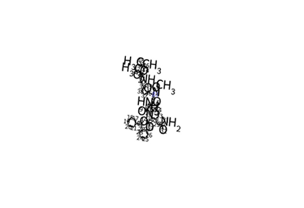 CO/N=C(/C(=O)N[C@@H]1C(=O)N2C(C(=O)OC(c3ccccc3)c3ccccc3)=C(CC(N)=O)CS[C@H]12)c1ccc(CNC(=O)OC(C)(C)C)o1